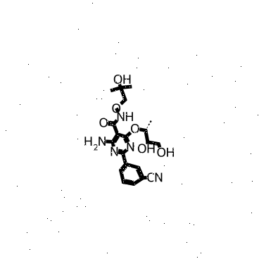 C[C@@H](Oc1nc(-c2cccc(C#N)c2)nc(N)c1C(=O)NOCC(C)(C)O)[C@@H](O)CO